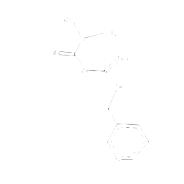 CCCCN(C)C(=N)NC(=N)NCc1cccnc1